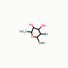 CCC1C(OC)OC(C(=O)O)C(O)C1O